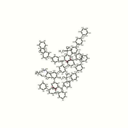 C=Cc1oc2c(-c3cccc(N(c4ccc5c(c4)C(C)(C)c4cc(-c6ccc(-c7ccccc7)cc6)ccc4-5)c4ccccc4-c4ccc(-c5ccccc5)cc4)c3)cc(-c3ccc(-c4ccc(-c5ccccc5)cc4)c(N(c4ccc(-c5ccc6oc7ccccc7c6c5)cc4)c4ccc5c(c4)C(C)(C)c4cc(-c6ccc(-c7ccccc7)cc6)ccc4-5)c3)cc2c1/C=C\C